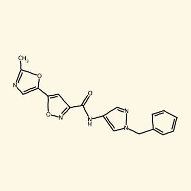 Cc1ncc(-c2cc(C(=O)Nc3cnn(Cc4ccccc4)c3)no2)o1